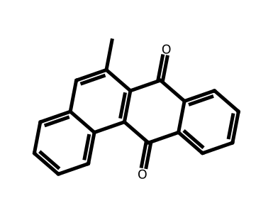 Cc1cc2ccccc2c2c1C(=O)c1ccccc1C2=O